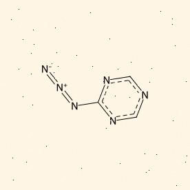 [N-]=[N+]=Nc1ncncn1